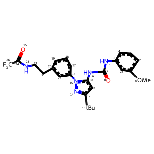 COc1cccc(NC(=O)Nc2cc(C(C)(C)C)nn2-c2cccc(CCNC(=O)C(F)(F)F)c2)c1